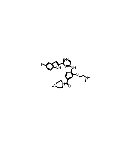 CN(C)CCOc1cc(C(=O)N2CCN(C)CC2)ccc1Nc1cncc(-c2cc3cc(F)ccc3[nH]2)n1